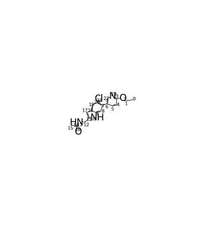 CCOc1ccc(-c2cc3[nH]c(CNC(C)=O)cc3cc2Cl)cn1